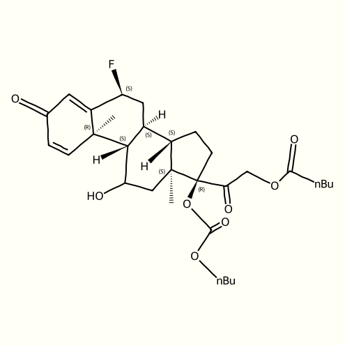 CCCCOC(=O)O[C@]1(C(=O)COC(=O)CCCC)CC[C@H]2[C@@H]3C[C@H](F)C4=CC(=O)C=C[C@]4(C)[C@H]3C(O)C[C@@]21C